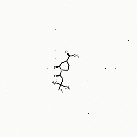 CC(=O)C1CCN(C(=O)OC(C)(C)C)C(=S)C1